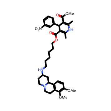 COC(=O)C1=C(C)NC(C)=C(C(=O)OCCCCCCNC2CCN3CCc4c(ccc(OC)c4OC)C3C2)C1c1cccc([N+](=O)[O-])c1